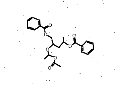 CC(=O)OC(C)OC(COC(=O)c1ccccc1)C[C@@H](C)OC(=O)c1ccccc1